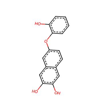 Oc1cc2ccc(Oc3ccccc3O)cc2cc1O